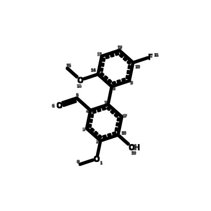 COc1cc(C=O)c(-c2cc(F)ccc2OC)cc1O